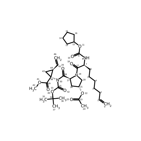 C=CCCCCC[C@H](NC(=O)OC1CCCC1)C(=O)N1C[C@H](OC(C)=O)C[C@H]1C(=O)N(C(=O)OC(C)(C)C)[C@]1(C(=O)OC)C[C@H]1C=C